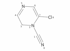 N#CN1CC=NC=C1Cl